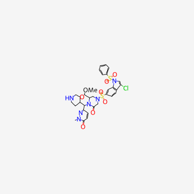 COC(=O)C1CN(S(=O)(=O)c2ccc3c(Cl)cn(S(=O)(=O)c4ccccc4)c3c2)CC(=O)N1C(c1ccc(=O)n(C)n1)C1CCNCC1